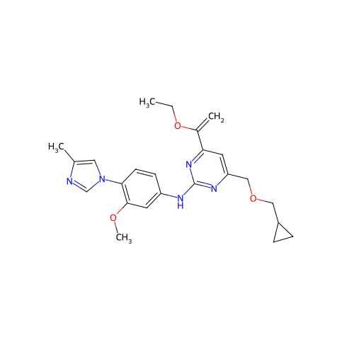 C=C(OCC)c1cc(COCC2CC2)nc(Nc2ccc(-n3cnc(C)c3)c(OC)c2)n1